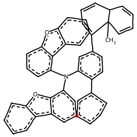 CC12C=CC=CC1C=CC=C2c1ccc(-c2ccccc2)c(N(c2cccc3c2oc2ccccc23)c2cccc3oc4ccccc4c23)c1